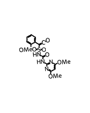 COc1cc(OC)nc(NC(=O)NS(=O)(=O)C(=C=O)c2ccccc2OC)n1